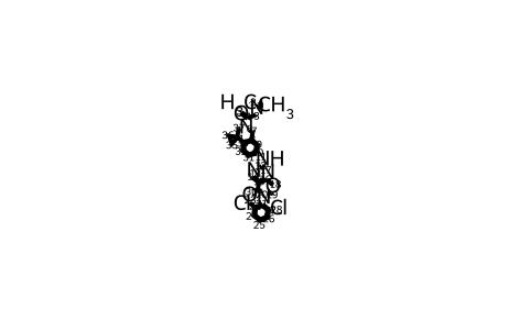 CN(C)CC(=O)N1Cc2cc(Nc3ncc4c(n3)OCN(c3c(Cl)cccc3Cl)C4=O)ccc2C2(CC2)C1